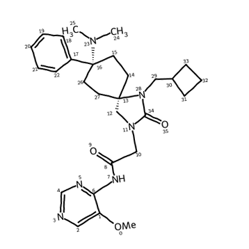 COc1cncnc1NC(=O)CN1C[C@]2(CC[C@@](c3ccccc3)(N(C)C)CC2)N(CC2CCC2)C1=O